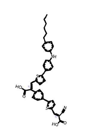 CCCCCCc1ccc(Nc2ccc(-c3ccc(/C=C(/C(=O)O)c4ccc(-c5ccc(/C=C(\C#N)C(=O)O)s5)cc4)s3)cc2)cc1